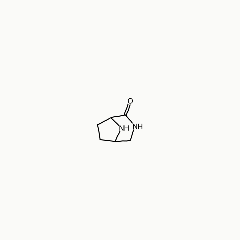 O=C1NCC2CCC1N2